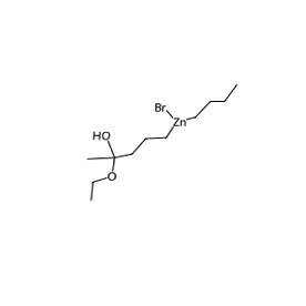 CCC[CH2][Zn]([Br])[CH2]CCC(C)(O)OCC